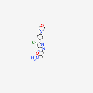 CC(Cc1nc2nc(-c3ccc(N4CCOCC4)cc3)c(Cl)cc2[nH]1)C(N)=O